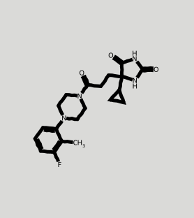 Cc1c(F)cccc1N1CCN(C(=O)CCC2(C3CC3)NC(=O)NC2=O)CC1